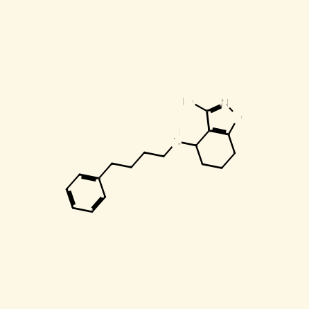 Oc1noc2c1C(NCCCCc1ccccc1)CCC2